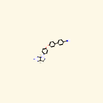 CN1C[C@H]2CCN(c3ccc(Oc4ccc(-c5ccc(C#N)cc5)cc4)cc3)[C@H]2C1